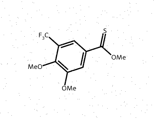 COC(=S)c1cc(OC)c(OC)c(C(F)(F)F)c1